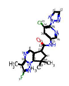 Cc1c(F)nn2c3c(cnc12)C(C(=O)Nc1cnc(-n2nccn2)c(Cl)c1)CC3(C)C